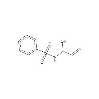 C=CC(O)NS(=O)(=O)c1ccccc1